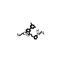 Cc1cc(C)cc(-c2ccc(OCCN(C)C)c(C(=O)/C=C/c3cccc(NCCN(C)C)c3)c2)c1